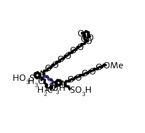 C=C/C=C(/C=C/C=C1/N(CCOCCOCCOCCOCCOCCOCCC(=O)ON2C(=O)CCC2=O)c2ccc(S(=O)(=O)O)cc2C1(C)CCCS(=O)(=O)O)c1ccc(N(CCCS(=O)(=O)O)CCOCCOCCOCCOCCOCCOC)cc1O